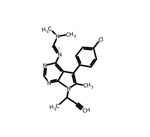 C#CC(C)n1c(C)c(-c2ccc(Cl)cc2)c2c(/N=C/N(C)C)ncnc21